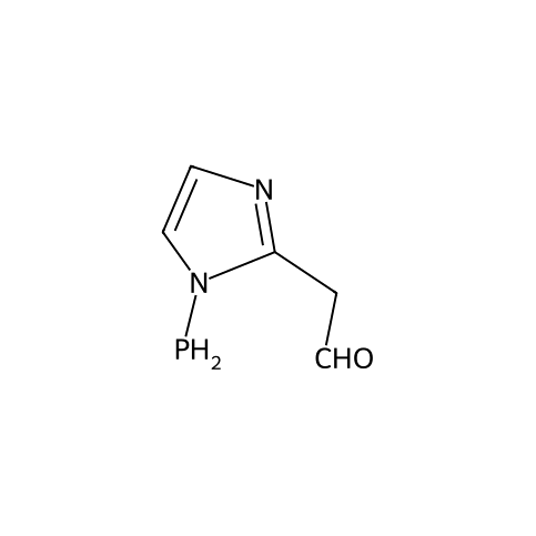 O=CCc1nccn1P